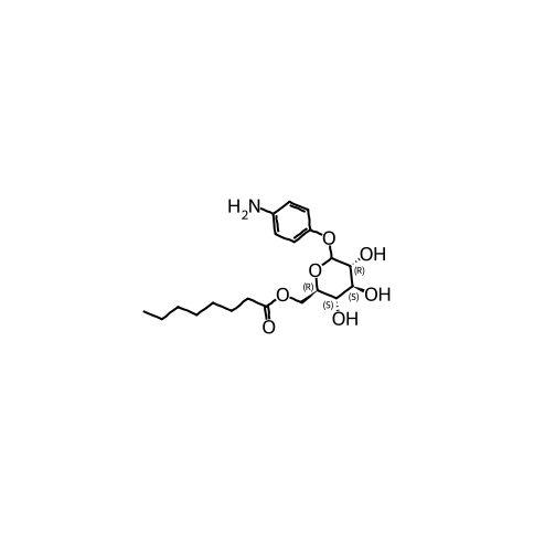 CCCCCCCC(=O)OC[C@H]1OC(Oc2ccc(N)cc2)[C@H](O)[C@@H](O)[C@@H]1O